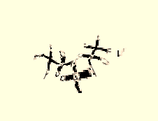 CS(=O)(=NS(=O)(=O)C(F)(F)F)[N-]S(=O)(=O)C(F)(F)F.[Li+]